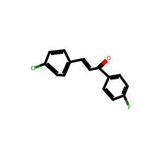 O=C(/C=C/c1ccc(Cl)cc1)c1ccc(F)cc1